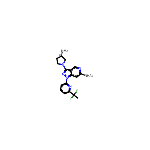 CN[C@@H]1CCN(c2nn(-c3cccc(C(C)(F)F)n3)c3cc(NC(C)=O)ncc23)C1